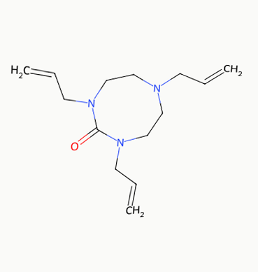 C=CCN1CCN(CC=C)C(=O)N(CC=C)CC1